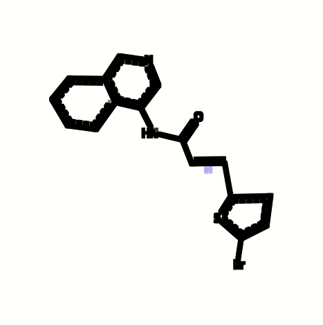 O=C(/C=C/c1ccc(Br)s1)Nc1cncc2ccccc12